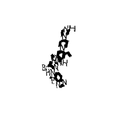 CCc1cc(Nc2ncc(Br)c(Nc3ccc4nccnc4c3P(C)C)n2)c(OC)cc1N1CCC(N2CCNCC2)CC1